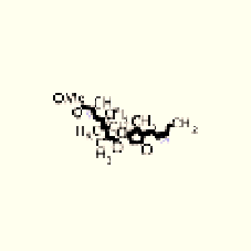 C=C/C=C\CC1=C(C)[C@@H](OC(=O)[C@H](C)C(C)(C)[C@@H](C)/C=C(\C)C(=O)OC)CC1=O